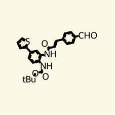 CC(C)(C)OC(=O)Nc1ccc(-c2cccs2)cc1NC(=O)C=Cc1ccc(C=O)cc1